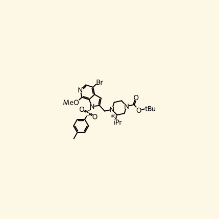 COc1ncc(Br)c2cc(CN3CCN(C(=O)OC(C)(C)C)C[C@H]3C(C)C)n(S(=O)(=O)c3ccc(C)cc3)c12